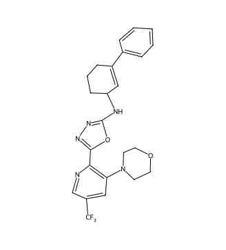 FC(F)(F)c1cnc(-c2nnc(NC3C=C(c4ccccc4)CCC3)o2)c(N2CCOCC2)c1